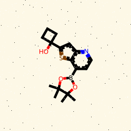 CC1(C)OB(c2ccnc3cc(C4(O)CCC4)sc23)OC1(C)C